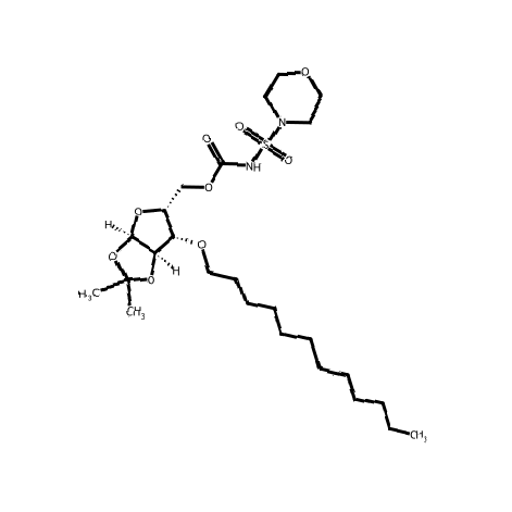 CCCCCCCCCCCCO[C@@H]1[C@H]2OC(C)(C)O[C@H]2O[C@@H]1COC(=O)NS(=O)(=O)N1CCOCC1